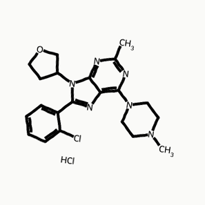 Cc1nc(N2CCN(C)CC2)c2nc(-c3ccccc3Cl)n(C3CCOC3)c2n1.Cl